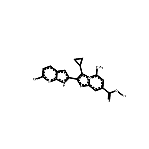 CCc1ccc2cc(-c3nc4cc(C(=O)OC(C)C)cc(OC)n4c3C3CC3)[nH]c2n1